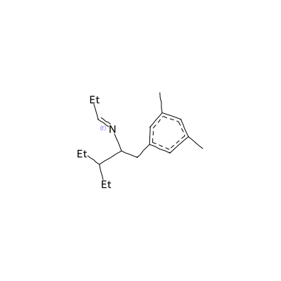 CC/C=N/C(Cc1cc(C)cc(C)c1)C(CC)CC